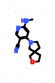 CNc1cc(N2CCC3(CCOC3)C2)c(C#N)cn1